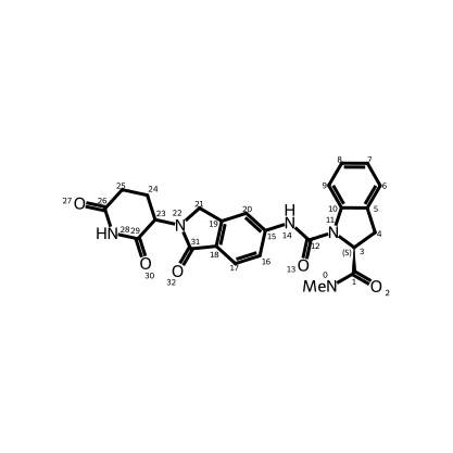 CNC(=O)[C@@H]1Cc2ccccc2N1C(=O)Nc1ccc2c(c1)CN(C1CCC(=O)NC1=O)C2=O